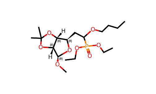 CCCCOC(C[C@H]1O[C@@H](OC)[C@@H]2OC(C)(C)O[C@@H]21)P(=O)(OCC)OCC